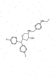 CCNc1ccc(CNC2COC(C(c3ccc(F)cc3)c3ccc(F)cc3)CC2O)cc1